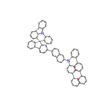 c1ccc(-c2ccc(-c3ccccc3N(c3ccc(-c4ccccc4)cc3)c3ccc4cc(-c5ccc6c(c5)C5(c7ccccc7-6)c6ccccc6-n6c7ccccc7c7cccc5c76)ccc4c3)cc2)cc1